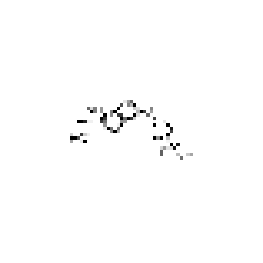 CCCC(F)(F)[C@H]1CC[C@@H](Oc2ccc3cc([C@@](C)(N)CO)ccc3c2)CC1